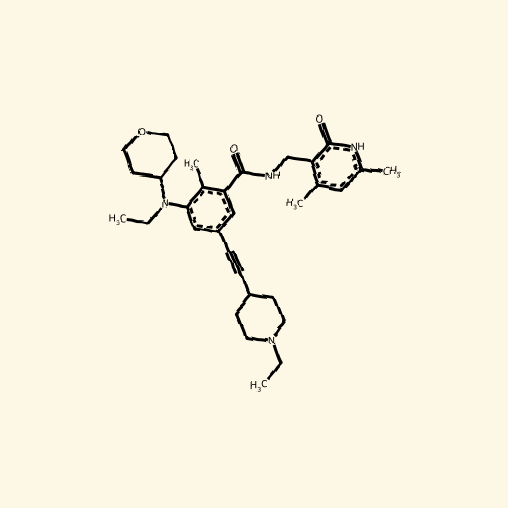 CCN1CCC(C#Cc2cc(C(=O)NCc3c(C)cc(C)[nH]c3=O)c(C)c(N(CC)C3CCOCC3)c2)CC1